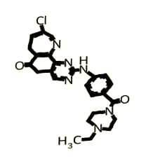 CCN1CCN(C(=O)c2ccc(Nc3ncc4c(n3)C3=C(CC=C(Cl)C=N3)C(=O)C4)cc2)CC1